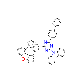 c1ccc(-c2ccc(-c3nc(-c4cccc(-c5cccc6oc7cccc(-c8ccccc8)c7c56)c4)nc(-n4c5ccccc5c5ccccc54)n3)cc2)cc1